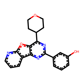 Oc1cccc(-c2nc(C3CCOCC3)c3oc4ncccc4c3n2)c1